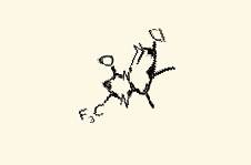 Cc1c(Cl)nn2c(=O)cc(C(F)(F)F)nc2c1C